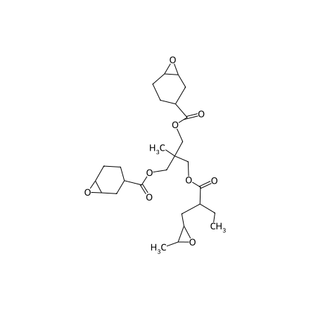 CCC(CC1OC1C)C(=O)OCC(C)(COC(=O)C1CCC2OC2C1)COC(=O)C1CCC2OC2C1